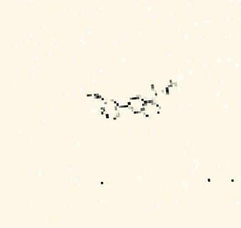 COC(=O)C[C@@H](N)c1ccc2c(c1)CCCN2C(=O)OC(C)(C)C